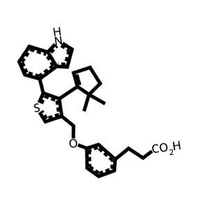 CC1(C)CCC=C1c1c(COc2cccc(CCC(=O)O)c2)csc1-c1cccc2[nH]ccc12